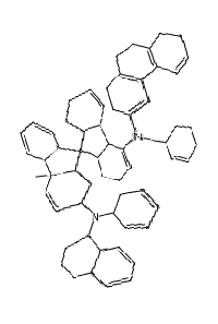 CC12C=CC(N(C3C=CC=CC3)C3CCCC4C=CC=CC43)CC1C1(C3C=CC=CC32)C2CCC=CC2C2C(N(C3=CC4=C(CC3)CCC3=C4C=CCC3)C3C=CCCC3)=CCCC21